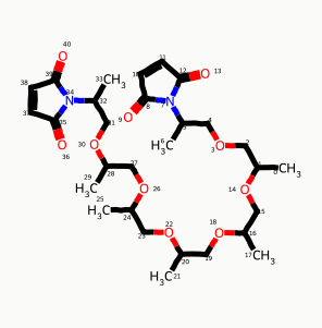 CC(COCC(C)N1C(=O)C=CC1=O)OCC(C)OCC(C)OCC(C)OCC(C)OCC(C)N1C(=O)C=CC1=O